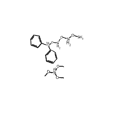 CO[SiH](OC)OC.[SiH3]O[SiH2]O[SiH2]O[SiH](c1ccccc1)c1ccccc1